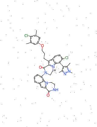 Cc1cc(OCCCc2c3n(c4c(-c5c(C)nn(C)c5C)c(Cl)ccc24)[C@H](C)CN(c2cccc4cc5n(c24)CCNC5=O)C3=O)cc(C)c1Cl